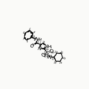 O=C(Nc1ccccc1)c1c[nH]c(S(=O)(=O)NC2CCCCC2)n1